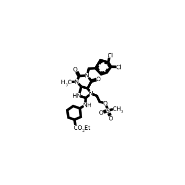 CCOC(=O)C1CCCC(NC2NC3C(C(=O)N(Cc4ccc(Cl)c(Cl)c4)C(=O)N3C)N2CCOS(C)(=O)=O)C1